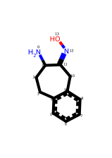 NC1CCc2ccccc2C/C1=N/O